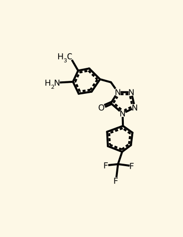 Cc1cc(Cn2nnn(-c3ccc(C(F)(F)F)cc3)c2=O)ccc1N